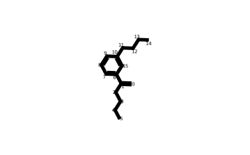 C=C(CCCC)c1cccc(CCCC)c1